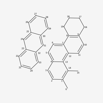 Cc1ccc2ccc3c4c(ccc3c2c1C)CCCC4.c1ccc2cc3ccccc3cc2c1